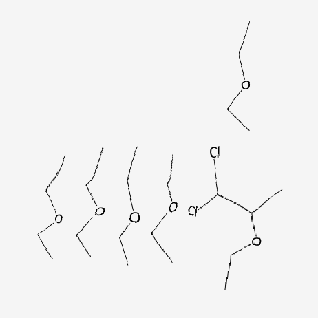 CCOC(C)C(Cl)Cl.CCOCC.CCOCC.CCOCC.CCOCC.CCOCC